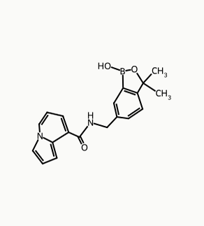 CC1(C)OB(O)c2cc(CNC(=O)c3cccn4cccc34)ccc21